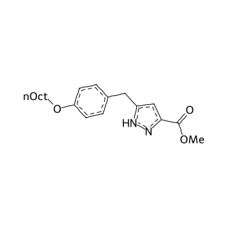 CCCCCCCCOc1ccc(Cc2cc(C(=O)OC)n[nH]2)cc1